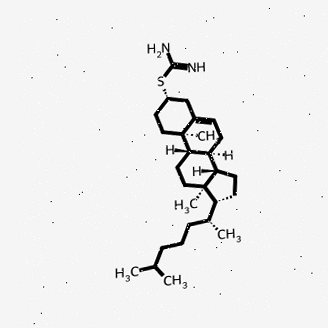 CC(C)CCC[C@@H](C)[C@H]1CC[C@H]2[C@@H]3CC=C4C[C@@H](SC(=N)N)CC[C@]4(C)[C@H]3CC[C@]12C